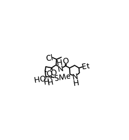 CCC1CNCC(C(=O)NC(C(C)Cl)C23CC(O2)[C@H](O)[C@@H](SC)O3)C1